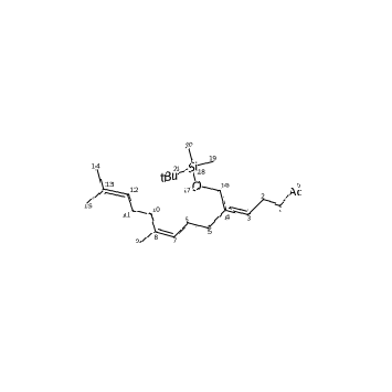 CC(=O)CCC=C(CCC=C(C)CCC=C(C)C)CO[Si](C)(C)C(C)(C)C